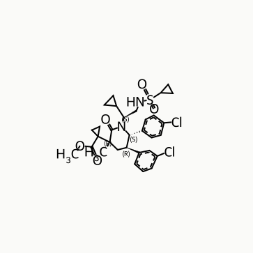 COC(=O)C1([C@@]2(C)C[C@H](c3cccc(Cl)c3)[C@@H](c3ccc(Cl)cc3)N([C@H](CNS(=O)(=O)C3CC3)C3CC3)C2=O)CC1